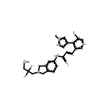 COCC(F)(F)CN1Cc2ccc(NC(=O)C=Cc3cncc(F)c3-c3cnn(C)c3)cc2C1